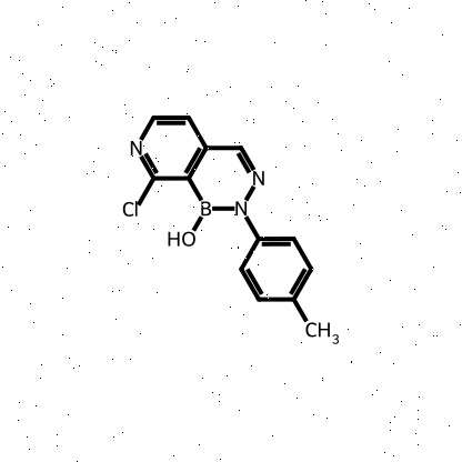 Cc1ccc(N2N=Cc3ccnc(Cl)c3B2O)cc1